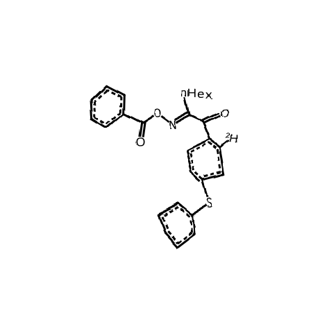 [2H]c1cc(Sc2ccccc2)ccc1C(=O)C(CCCCCC)=NOC(=O)c1ccccc1